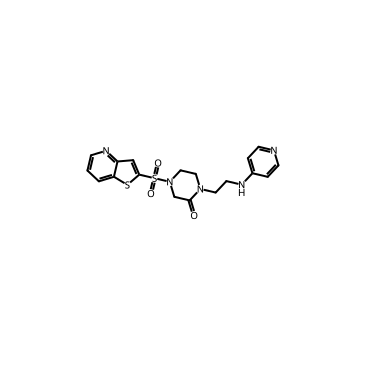 O=C1CN(S(=O)(=O)c2cc3ncccc3s2)CCN1CCNc1ccncc1